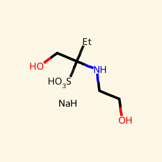 CCC(CO)(NCCO)S(=O)(=O)O.[NaH]